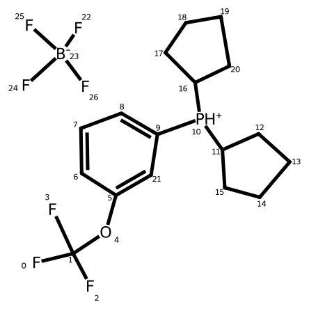 FC(F)(F)Oc1cccc([PH+](C2CCCC2)C2CCCC2)c1.F[B-](F)(F)F